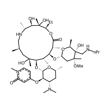 CCCNC[C@]1(O)[C@H](C)O[C@@H](O[C@H]2[C@H](C)[C@@H](O[C@@H]3O[C@H](C)C[C@H](N(C)C)[C@H]3Oc3ccn(C)c(=O)c3)[C@](C)(O)C[C@@H](C)CN[C@H](C)[C@@H](O)[C@](C)(O)[C@@H](CC)OC(=O)[C@@H]2C)C[C@@]1(C)OC